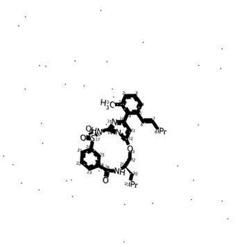 Cc1cccc(/C=C/C(C)C)c1-c1cc2nc(n1)NS(=O)(=O)c1cccc(c1)C(=O)N[C@H](CC(C)C)CO2